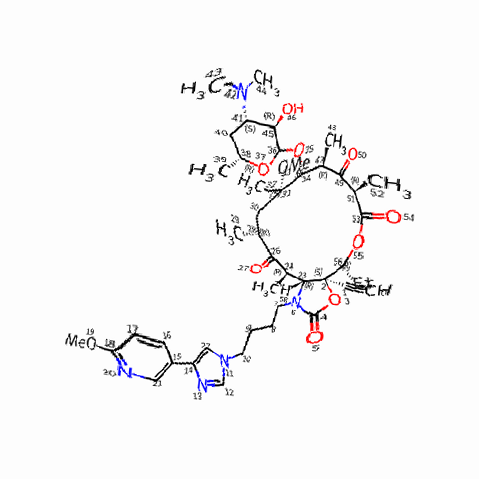 C#C[C@]12OC(=O)N(CCCCn3cnc(-c4ccc(OC)nc4)c3)[C@@H]1[C@@H](C)C(=O)[C@H](C)C[C@](C)(OC)[C@H](OC1O[C@H](C)C[C@H](N(C)C)[C@H]1O)[C@@H](C)C(=O)[C@@H](C)C(=O)O[C@@H]2CC